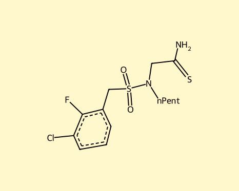 CCCCCN(CC(N)=S)S(=O)(=O)Cc1cccc(Cl)c1F